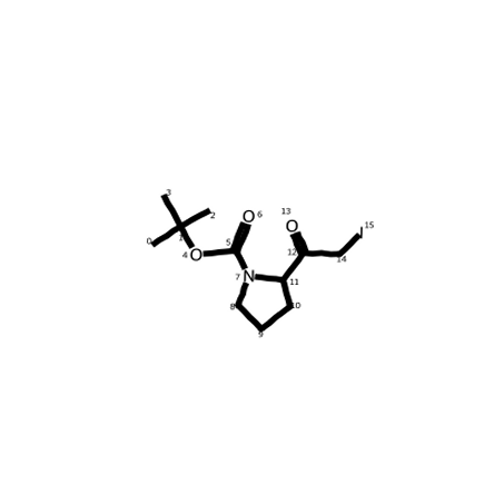 CC(C)(C)OC(=O)N1CCCC1C(=O)CI